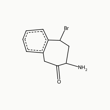 NC1CC(Br)c2ccccc2CC1=O